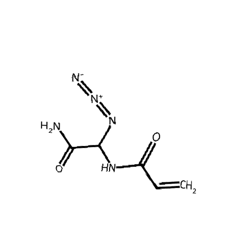 C=CC(=O)NC(N=[N+]=[N-])C(N)=O